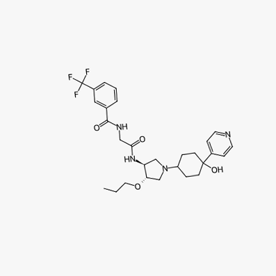 CCCO[C@H]1CN(C2CCC(O)(c3ccncc3)CC2)C[C@@H]1NC(=O)CNC(=O)c1cccc(C(F)(F)F)c1